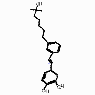 CC(C)(O)CCCCCc1cccc(/C=C/c2ccc(O)c(O)c2)c1